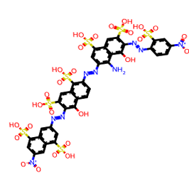 Nc1c(N=Nc2ccc3c(O)c(N=Nc4cc(S(=O)(=O)O)c5cc([N+](=O)[O-])cc(S(=O)(=O)O)c5c4)c(S(=O)(=O)O)cc3c2S(=O)(=O)O)cc(S(=O)(=O)O)c2cc(S(=O)(=O)O)c(N=Nc3ccc([N+](=O)[O-])cc3S(=O)(=O)O)c(O)c12